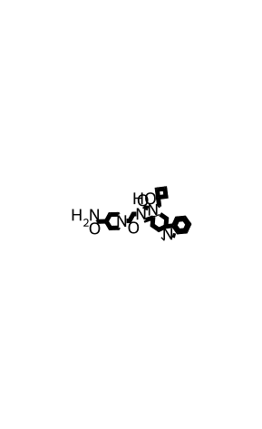 CN(C)[C@]1(c2ccccc2)CC[C@]2(CC1)CN(CC(=O)N1CCC(C(N)=O)CC1)C(=O)N2CC1(O)CCC1